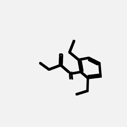 CCC(=O)Nc1c(CC)cccc1CC